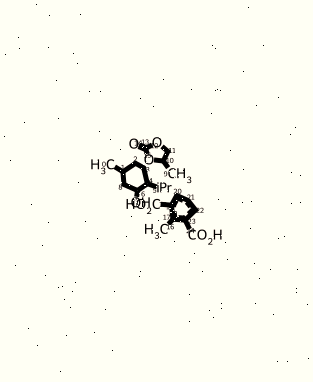 CC1CCC(C(C)C)C(O)C1.CC1COC(=O)O1.Cc1c(C(=O)O)cccc1C(=O)O